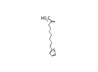 C=C(CCCCCCCc1cccs1)C(=O)O